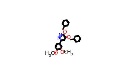 COc1ccc(-c2cc(OCc3ccccc3)c(OCc3ccccc3)nn2)cc1OC